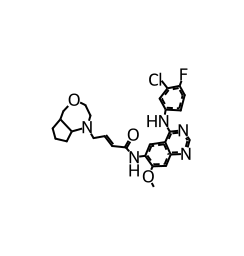 COc1cc2ncnc(Nc3ccc(F)c(Cl)c3)c2cc1NC(=O)C=CCN1CCOCC2CCCC21